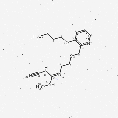 CCCCOc1cccnc1CSCC/N=C(/NC)NC#N